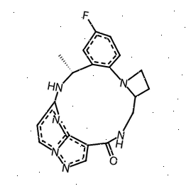 C[C@H]1Nc2ccn3ncc(c3n2)C(=O)NCC2CCN2c2ccc(F)cc21